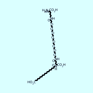 NN[C@@H](CCCCNC(=O)CCOCCOCCOCCOCCOCCOCCOCCOCCNC(=O)CC[C@H](NC(=O)CCCCCCCCCCCCCCCCC(=O)O)C(=O)O)C(=O)O